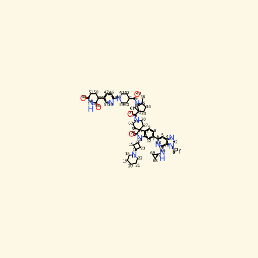 CC(C)n1cnc2cc(-c3ccc4c(c3)N([C@H]3C[C@@H](N5CCCCC5)C3)C(=O)C43CCN(C(=O)C45CCC(C)(C4)N(C(=O)C4CCN(c6ccc(C7CCC(=O)NC7=O)cn6)CC4)C5)CC3)nc(NC3CC3)c21